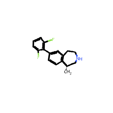 C[C@H]1CNCCc2cc(-c3c(F)cccc3F)ccc21